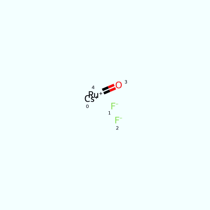 [Cs+].[F-].[F-].[O]=[Ru+]